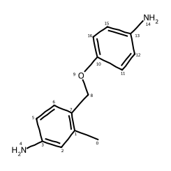 Cc1cc(N)ccc1COc1ccc(N)cc1